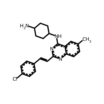 Cc1ccc2nc(C=Cc3ccc(Cl)cc3)nc(NC3CCC(N)CC3)c2c1